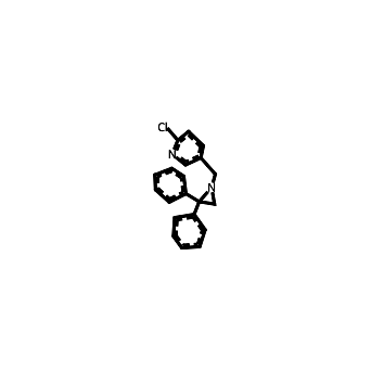 Clc1ccc(CN2CC2(c2ccccc2)c2ccccc2)cn1